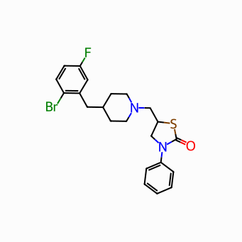 O=C1SC(CN2CCC(Cc3cc(F)ccc3Br)CC2)CN1c1ccccc1